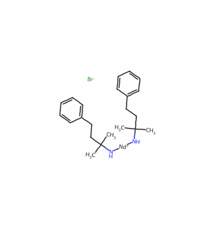 CC(C)(CCc1ccccc1)[NH][Nd+][NH]C(C)(C)CCc1ccccc1.[Br-]